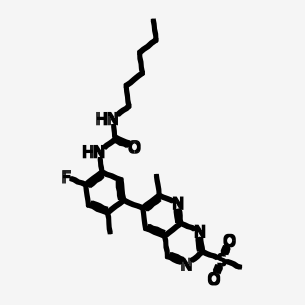 CCCCCCNC(=O)Nc1cc(-c2cc3cnc(S(C)(=O)=O)nc3nc2C)c(C)cc1F